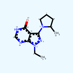 CCn1nc(N2CCCC2C)c2c(=O)[nH]cnc21